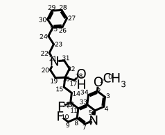 COc1ccc2ncc(CF)c([C@@H](F)CCC3(CO)CCN(CCCc4ccccc4)CC3)c2c1